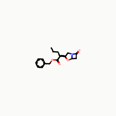 CCCC(C(=O)OCc1ccccc1)=C1CN2C(=O)CC2O1